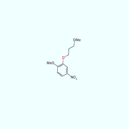 COCCCOc1cc([N+](=O)[O-])ccc1OC